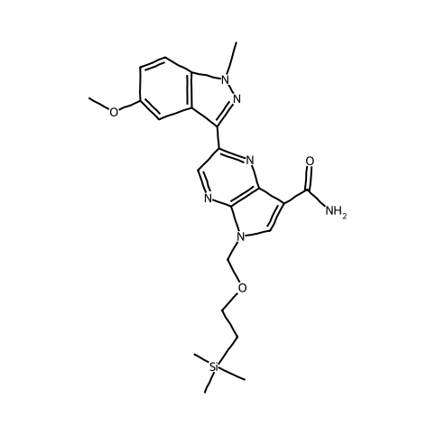 COc1ccc2c(c1)c(-c1cnc3c(n1)c(C(N)=O)cn3COCC[Si](C)(C)C)nn2C